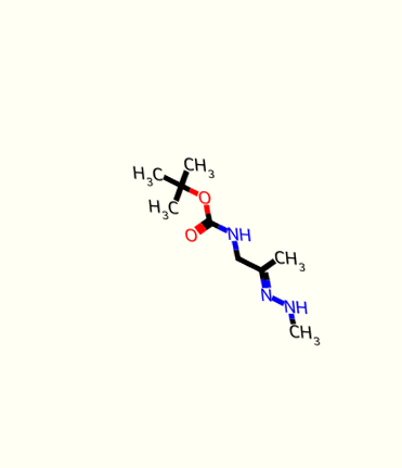 CN/N=C(\C)CNC(=O)OC(C)(C)C